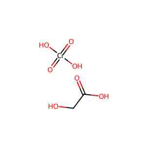 O=C(O)CO.[O]=[Cr](=[O])([OH])[OH]